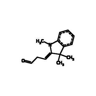 CN1C(=CCC=O)C(C)(C)c2ccccc21